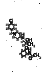 CC(=O)Nc1ccccc1OC[C@](C)(O)CNC1CCN(Cc2ccc(Cl)cc2)CC1